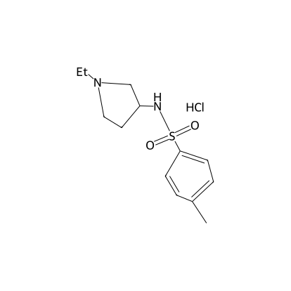 CCN1CCC(NS(=O)(=O)c2ccc(C)cc2)C1.Cl